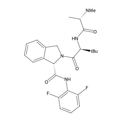 CN[C@@H](C)C(=O)N[C@H](C(=O)N1Cc2ccccc2[C@H]1C(=O)Nc1c(F)cccc1F)C(C)(C)C